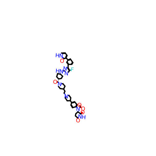 O=C1CCC(n2c(=O)oc3cc(C4CCN(CCC5CCN(C(=O)[C@H]6CC[C@H](Nc7ncc(F)c(-c8cccc(-c9ccc[nH]c9=O)c8)n7)CC6)CC5)CC4)ccc32)C(=O)N1